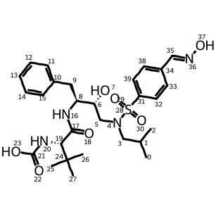 CC(C)CN(C[C@@H](O)[C@H](Cc1ccccc1)NC(=O)[C@@H](NC(=O)O)C(C)(C)C)S(=O)(=O)c1ccc(/C=N/O)cc1